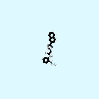 COc1ccccc1NC(=O)Cn1nnc(-c2ccc3ccccc3c2)n1